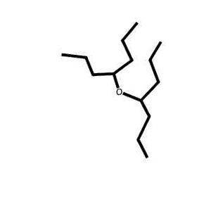 CCCC(CCC)OC(CCC)CCC